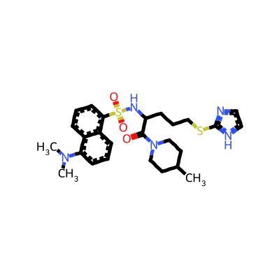 CC1CCN(C(=O)C(CCCSc2ncc[nH]2)NS(=O)(=O)c2cccc3c(N(C)C)cccc23)CC1